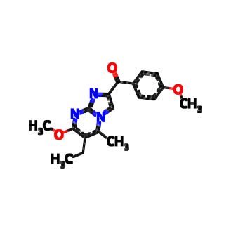 CCc1c(OC)nc2nc(C(=O)c3ccc(OC)cc3)cn2c1C